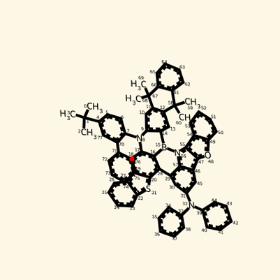 CC(C)(C)c1ccc(N2c3cc4c(cc3B3c5c2cc2c(sc6ccccc62)c5-c2cc(N(c5ccccc5)c5ccccc5)cc5c6oc7ccccc7c6n3c25)C(C)(C)c2ccccc2C4(C)C)c(-c2ccccc2)c1